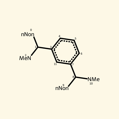 CCCCCCCCCC(NC)c1cccc(C(CCCCCCCCC)NC)c1